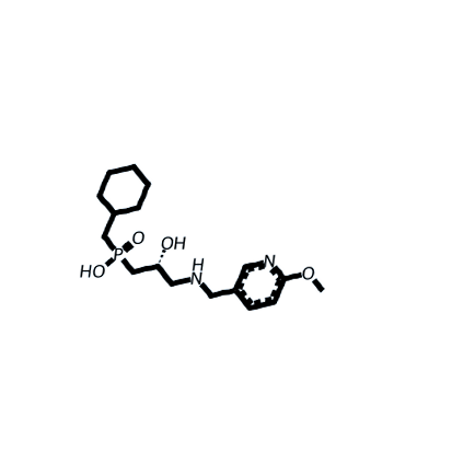 COc1ccc(CNC[C@@H](O)CP(=O)(O)CC2CCCCC2)cn1